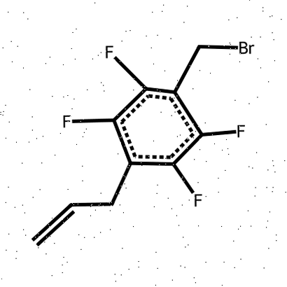 C=CCc1c(F)c(F)c(CBr)c(F)c1F